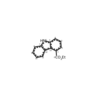 CCOC(=O)c1cccc2[nH]c3ccccc3c12